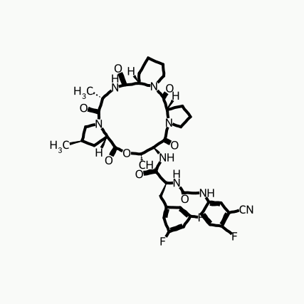 C[C@@H]1C[C@H]2C(=O)O[C@@H](C)[C@H](NC(=O)[C@H](Cc3cc(F)cc(F)c3)NC(=O)Nc3ccc(F)c(C#N)c3)C(=O)N3CCC[C@H]3C(=O)N3CCCC[C@H]3C(=O)N[C@@H](C)C(=O)N2C1